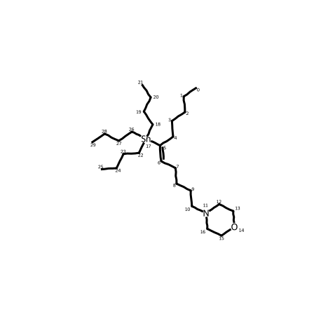 CCCCC/[C](=C\CCCCN1CCOCC1)[Sn]([CH2]CCC)([CH2]CCC)[CH2]CCC